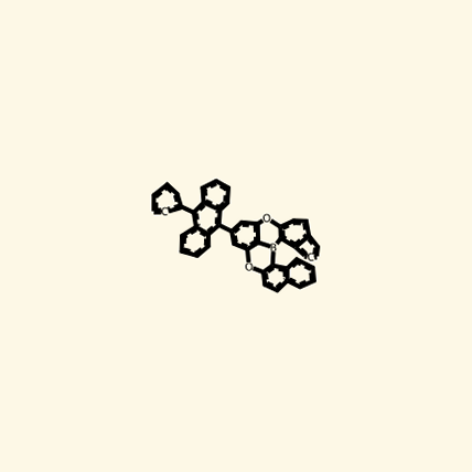 c1ccc(-c2c3ccccc3c(-c3cc4c5c(c3)Oc3ccc6ccccc6c3B5c3c(ccc5ccccc35)O4)c3ccccc23)cc1